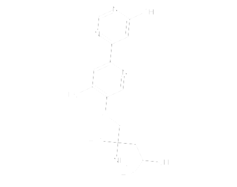 Cc1cc(-c2cc(C)c(OCC(C)(N)CC(C)C)cn2)ncn1